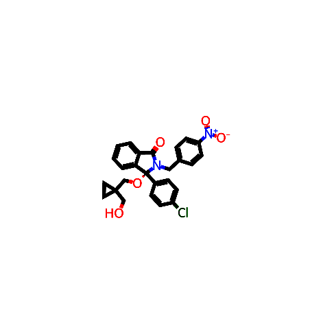 O=C1c2ccccc2[C@](OCC2(CO)CC2)(c2ccc(Cl)cc2)N1Cc1ccc([N+](=O)[O-])cc1